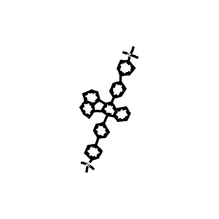 C[Si](C)(C)c1ccc(-c2ccc(-c3c4c(c(-c5ccc(-c6ccc([Si](C)(C)C)cc6)cc5)c5ccccc35)-c3cccc5cccc-4c35)cc2)cc1